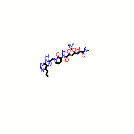 CCCc1ncnc2[nH]c(Cn3cccc(NC(=O)[C@H](CC/C=C/C(=O)N(C)C)OC(O)N(C)C)c3=O)nc12